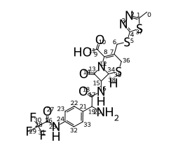 Cc1nnc(SCC2=C(C(=O)O)N3C(=O)C(NC(=O)C(N)c4ccc(NC(=O)C(F)(F)F)cc4)[C@@H]3SC2)s1